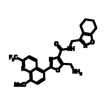 COc1ccc(-c2nc(C(=O)NCc3noc4c3CCCC4)c(CN)o2)c2ccc(C(F)(F)F)nc12